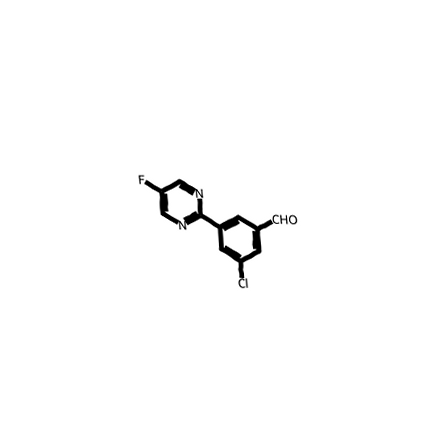 O=Cc1cc(Cl)cc(-c2ncc(F)cn2)c1